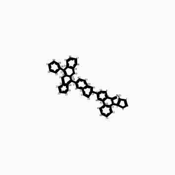 C1=CC2=C(C1)C1C(=N2)c2ccc(-c3ccc4cc(C5=c6ccccc6=CC6=C(c7ccccc7)c7ccccc7CC65)ccc4c3)cc2-c2ccccc21